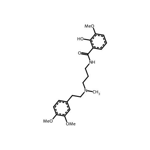 COc1ccc(CCN(C)CCCNC(=O)c2cccc(OC)c2O)cc1OC